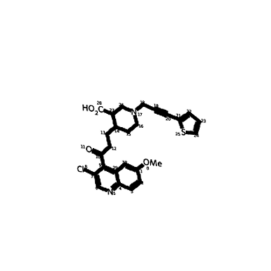 COc1ccc2ncc(Cl)c(C(=O)CCC3CCN(CC#Cc4cccs4)CC3C(=O)O)c2c1